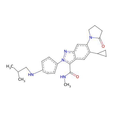 CNC(=O)c1c2cc(C3CC3)c(N3CCCC3=O)cc2nn1-c1ccc(NCC(C)C)cc1